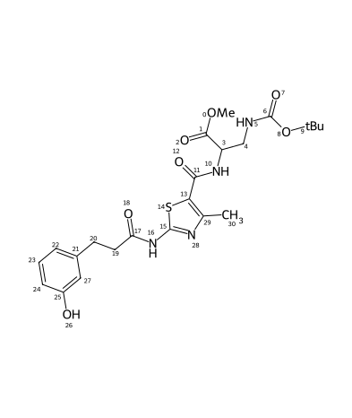 COC(=O)C(CNC(=O)OC(C)(C)C)NC(=O)c1sc(NC(=O)CCc2cccc(O)c2)nc1C